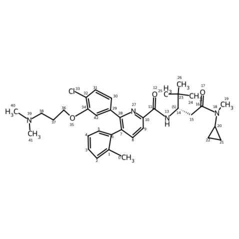 Cc1ccccc1-c1ccc(C(=O)N[C@@H](CC(=O)N(C)C2CC2)C(C)(C)C)nc1-c1ccc(Cl)c(OCCCN(C)C)c1